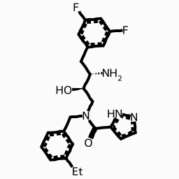 CCc1cccc(CN(C[C@@H](O)[C@@H](N)Cc2cc(F)cc(F)c2)C(=O)c2ccn[nH]2)c1